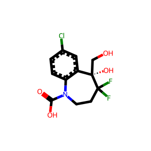 O=C(O)N1CCC(F)(F)[C@](O)(CO)c2cc(Cl)ccc21